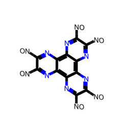 O=Nc1nc2c3nc(N=O)c(N=O)nc3c3nc(N=O)c(N=O)nc3c2nc1N=O